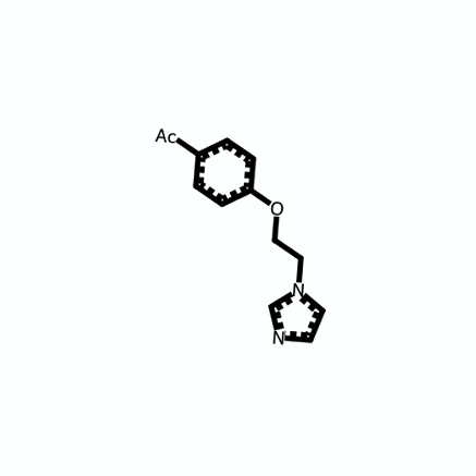 CC(=O)c1ccc(OCCn2ccnc2)cc1